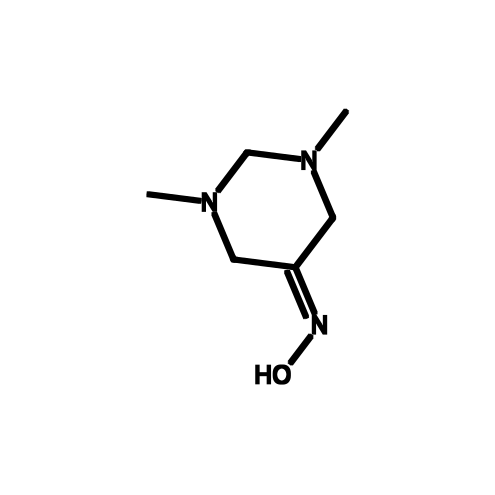 CN1CC(=NO)CN(C)C1